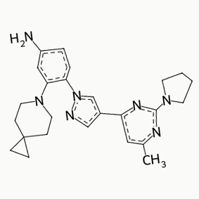 Cc1cc(-c2cnn(-c3ccc(N)cc3N3CCC4(CC3)CC4)c2)nc(N2CCCC2)n1